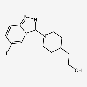 OCCC1CCN(c2nnc3ccc(F)cn23)CC1